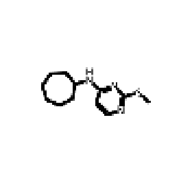 CSc1nccc(NC2CCCCCC2)n1